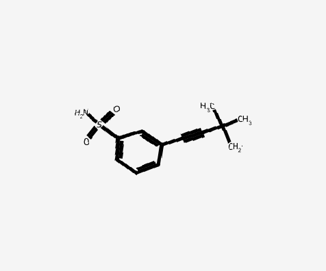 [CH2]C(C)(C)C#Cc1cccc(S(N)(=O)=O)c1